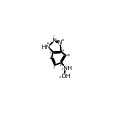 ONc1ccc2[nH]nnc2c1